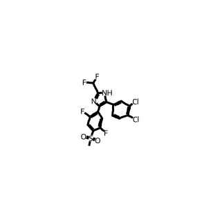 CS(=O)(=O)c1cc(F)c(-c2nc(C(F)F)[nH]c2-c2ccc(Cl)c(Cl)c2)cc1F